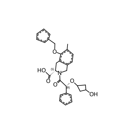 Cc1ccc2c(c1OCc1ccccc1)C[C@@H](C(=O)O)N(C(=O)[C@H](OC1CC(O)C1)c1ccccc1)C2